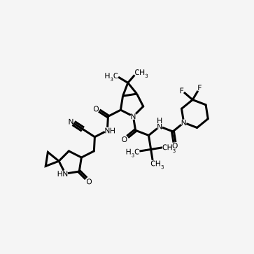 CC(C)(C)C(NC(=O)N1CCCC(F)(F)C1)C(=O)N1CC2C(C1C(=O)NC(C#N)CC1CC3(CC3)NC1=O)C2(C)C